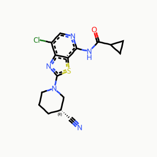 N#C[C@@H]1CCCN(c2nc3c(Cl)cnc(NC(=O)C4CC4)c3s2)C1